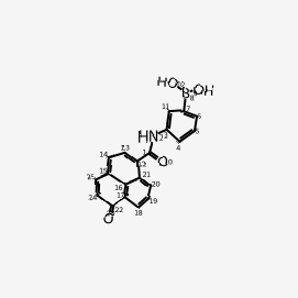 O=C(Nc1cccc(B(O)O)c1)c1ccc2c3c(cccc13)C(=O)C=C2